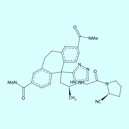 CNC(=O)c1ccc2c(c1)CCc1cc(C(=O)NC)ccc1C2(C[C@H](C)NCC(=O)N1CCC[C@H]1C#N)c1nnc[nH]1